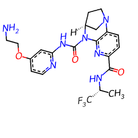 C[C@@H](NC(=O)c1ccc2c(n1)N(C(=O)Nc1cc(OCCN)ccn1)[C@H]1CCN2C1)C(F)(F)F